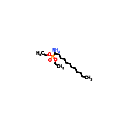 CCCCCCCCCCCC(N)P(=O)(OCC)OCC